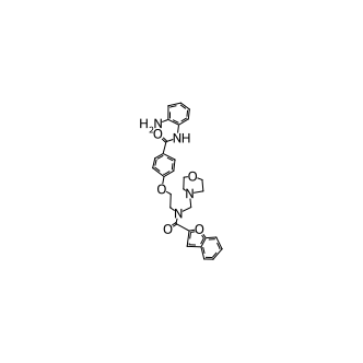 Nc1ccccc1NC(=O)c1ccc(OCCN(CN2CCOCC2)C(=O)c2cc3ccccc3o2)cc1